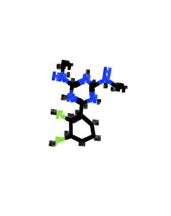 CC(C)Nc1nc(NC(C)C)nc(C2=C(F)C(F)CCC2)n1